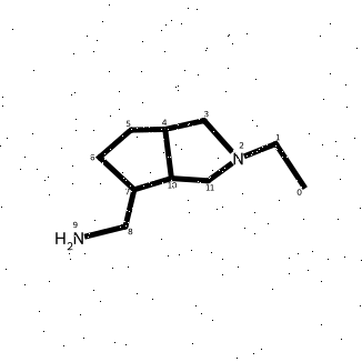 CCN1CC2CCC(CN)C2C1